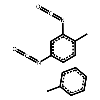 Cc1ccc(N=C=O)cc1N=C=O.Cc1ccccc1